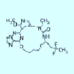 CCN1Cc2cnc(OC)c(c2)-c2nc(c3nccn3n2)OCC/C=C/C[C@H](CCC(C)(F)F)NC1=O